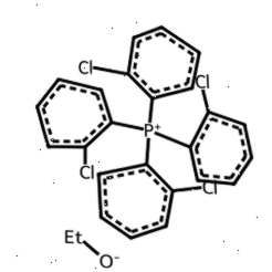 CC[O-].Clc1ccccc1[P+](c1ccccc1Cl)(c1ccccc1Cl)c1ccccc1Cl